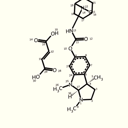 CN1CC[C@]2(C)c3ccc(OC(=O)NN4CC5CCC(CC5)C4)cc3N(C)[C@H]12.O=C(O)/C=C/C(=O)O